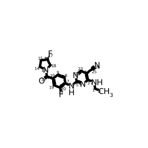 CCNc1nc(Nc2ccc(C(=O)N3CC[C@H](F)C3)cc2F)ncc1C#N